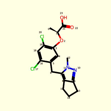 C[C@H](Oc1cc(Cc2c3c(nn2C)CCC3)c(Cl)cc1Cl)C(=O)O